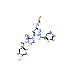 O=CNc1cc(-n2cnn(Cc3ccc(F)cc3)c2=O)n(Cc2cccnc2)n1